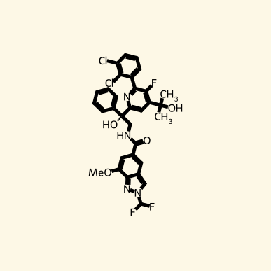 COc1cc(C(=O)NC[C@@](O)(c2ccccc2)c2cc(C(C)(C)O)c(F)c(-c3cccc(Cl)c3Cl)n2)cc2cn(C(F)F)nc12